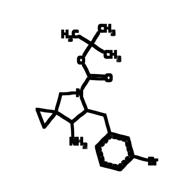 CC(C)(C)OC(=O)N1CC2(CC2)C(N)C1Cc1cccc(Br)c1